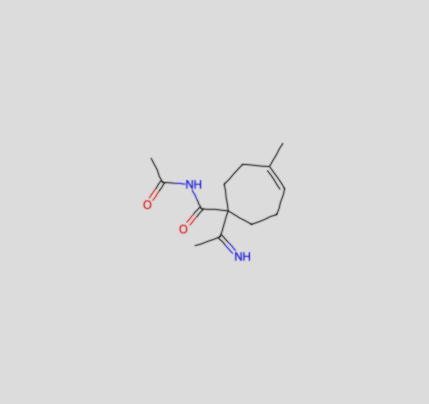 CC(=N)C1(C(=O)NC(C)=O)CCC=C(C)CC1